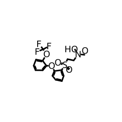 O=CN(O)CCS(=O)(=O)c1ccccc1Oc1ccccc1OC(F)(F)F